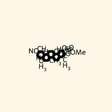 COP(C)(=O)OC1=C(C)C2=CC=C3[C@@](C)(CC[C@@]4(C)[C@@H]5C[C@](C)(C#N)CC[C@]5(C)CC[C@]34C)C2=CC1=O